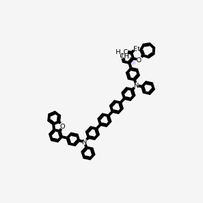 C=C/C(=C(/OC1=CC=CCC=C1)C(=C)CC)c1ccc(N(c2ccccc2)c2ccc(-c3ccc(-c4ccc(-c5ccc(N(c6ccccc6)c6ccc(-c7cccc8c7oc7ccccc78)cc6)cc5)cc4)cc3)cc2)cc1